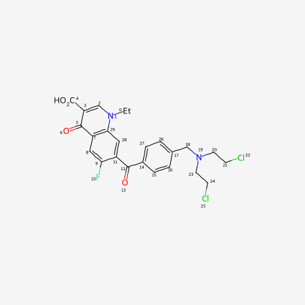 CCn1cc(C(=O)O)c(=O)c2cc(F)c(C(=O)c3ccc(CN(CCCl)CCCl)cc3)cc21